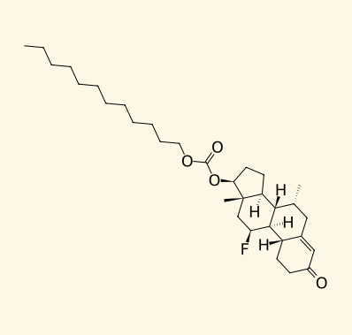 CCCCCCCCCCCCOC(=O)O[C@H]1CC[C@H]2[C@H]3[C@H]([C@@H](F)C[C@]12C)[C@H]1CCC(=O)C=C1C[C@H]3C